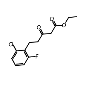 CCOC(=O)CC(=O)CCc1c(F)cccc1Cl